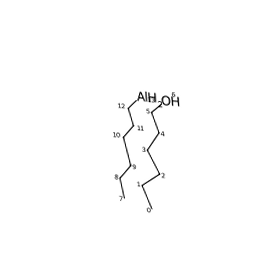 CCCCCCO.CCCCC[CH2][AlH2]